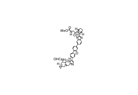 COC(=O)NCC(=O)N1[C@@H]2CC[C@@H](C2)[C@H]1c1nc2ccc(-c3ccc4c(c3)oc3cc(-c5cnc(CN(CC6(C)CC6)C(=O)CNC=O)[nH]5)ccc34)cc2[nH]1